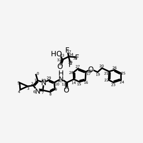 Cc1c(C2CC2)nc2ccc(NC(=O)c3ccc(OCCc4ccccc4)cc3)cn12.O=C(O)C(F)(F)F